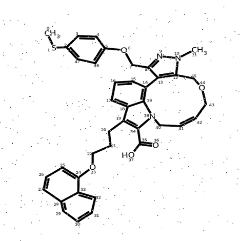 CSc1ccc(OCc2nn(C)c3c2-c2cccc4c(CCCOc5cccc6ccccc56)c(C(=O)O)n(c24)C/C=C\COC3)cc1